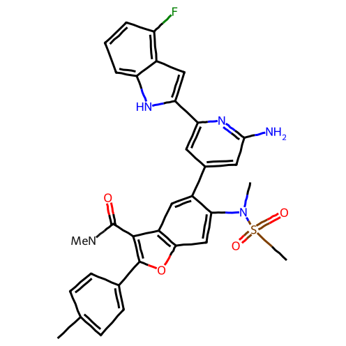 CNC(=O)c1c(-c2ccc(C)cc2)oc2cc(N(C)S(C)(=O)=O)c(-c3cc(N)nc(-c4cc5c(F)cccc5[nH]4)c3)cc12